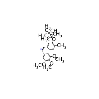 COc1cc(/C=C\c2ccc(C)c(O[Si](C)(C)C(C)(C)C)c2)cc(OC)c1OC